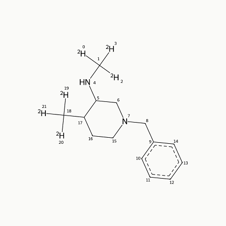 [2H]C([2H])([2H])NC1CN(Cc2ccccc2)CCC1C([2H])([2H])[2H]